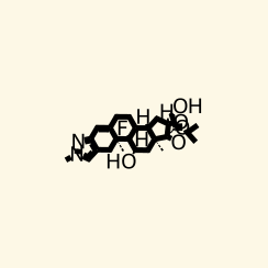 Cn1cc2c(n1)C=C1CC[C@H]3[C@@H]4C[C@H]5OC(C)(C)O[C@@]5(C(=O)CO)[C@@]4(C)C[C@H](O)[C@]3(F)[C@@]1(C)C2